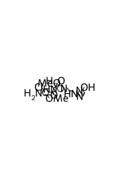 COc1cc(N)c(Cl)cc1C(=O)NC1CCN(CCCNc2nccc(O)n2)CC1OC.O